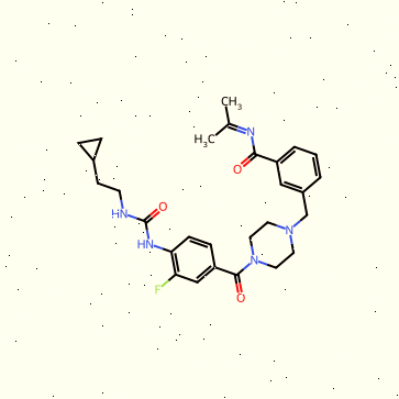 CC(C)=NC(=O)c1cccc(CN2CCN(C(=O)c3ccc(NC(=O)NCCC4CC4)c(F)c3)CC2)c1